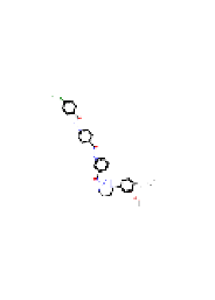 CCOc1cc(C2=NN(C(=O)c3cccc(NC(=O)c4ccc(NC(=O)c5ccc(Cl)cc5)cc4)c3)CCC2)ccc1OC